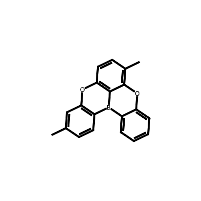 Cc1ccc2c(c1)Oc1ccc(C)c3c1B2c1ccccc1O3